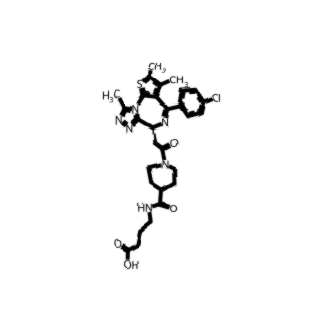 Cc1sc2c(c1C)C(c1ccc(Cl)cc1)=N[C@@H](CC(=O)N1CCC(C(=O)NCCCC(=O)O)CC1)c1nnc(C)n1-2